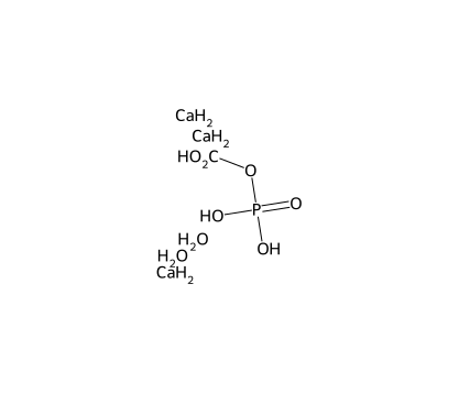 O.O.O=C(O)OP(=O)(O)O.[CaH2].[CaH2].[CaH2]